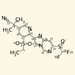 CCS(=O)(=O)c1cc(C(C)(C)C#N)cnc1-c1cn2cnc([S+]([O-])C(F)F)cc2n1